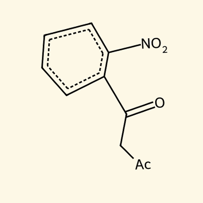 CC(=O)CC(=O)c1ccccc1[N+](=O)[O-]